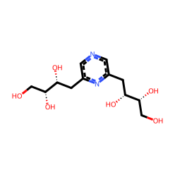 OC[C@@H](O)[C@H](O)Cc1cncc(C[C@@H](O)[C@H](O)CO)n1